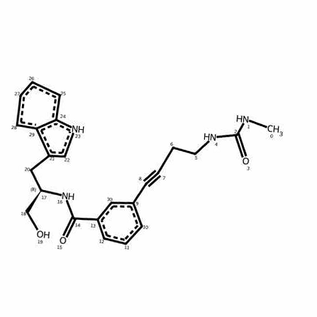 CNC(=O)NCCC#Cc1cccc(C(=O)N[C@@H](CO)Cc2c[nH]c3ccccc23)c1